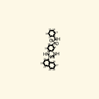 N=NN(Nc1ccc(S(=O)(=O)Nc2ccccc2)cc1)c1cccc2ccccc12